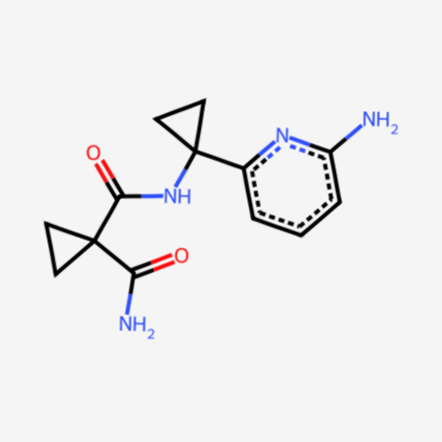 NC(=O)C1(C(=O)NC2(c3cccc(N)n3)CC2)CC1